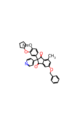 COc1ccc(C2(c3ccncc3)C(=O)c3cc(OCc4ccccc4)cc(C)c3C2=O)cc1OC1CCCC1